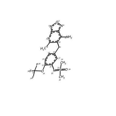 Cc1nc2nonc2c(N)c1Cc1ccc(OC(F)(F)F)c(N=S(C)(C)=O)c1